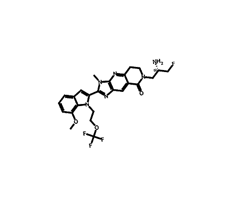 COc1cccc2cc(-c3nc4cc5c(nc4n3C)CCN(C[C@H](N)CF)C5=O)n(CCOC(F)(F)F)c12